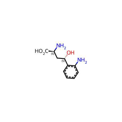 Nc1ccccc1[C@@H](O)C[C@H](N)C(=O)O